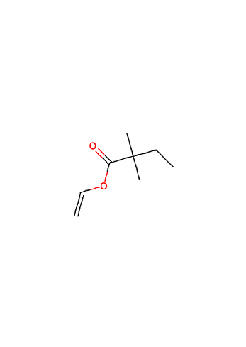 C=COC(=O)C(C)(C)CC